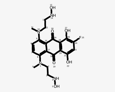 CN(CCNO)c1ccc(N(C)CCNO)c2c1C(=O)c1c(O)cc(F)c(O)c1C2=O